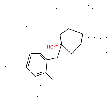 Cc1ccccc1CC1(O)CCCCC1